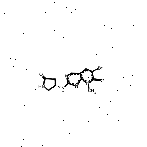 Cn1c(=O)c(Br)cc2cnc(N[C@@H]3CNC(=O)C3)nc21